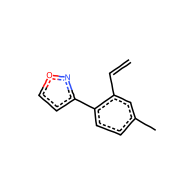 C=Cc1cc(C)ccc1-c1ccon1